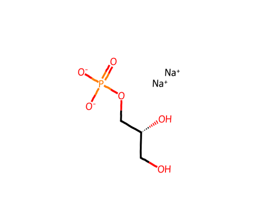 O=P([O-])([O-])OC[C@H](O)CO.[Na+].[Na+]